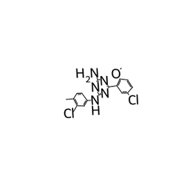 COc1ccc(Cl)cc1-c1nc(N)nc(Nc2ccc(C)c(Cl)c2)n1